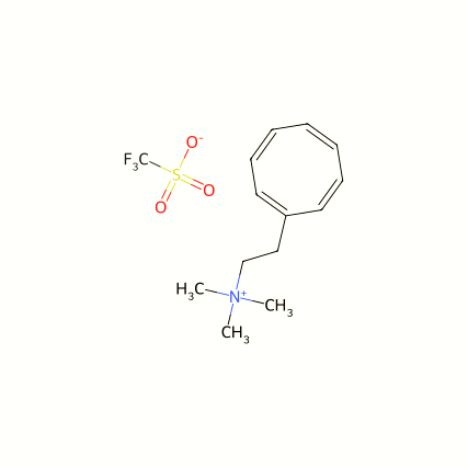 C[N+](C)(C)CCC1=CC=CC=CC=C1.O=S(=O)([O-])C(F)(F)F